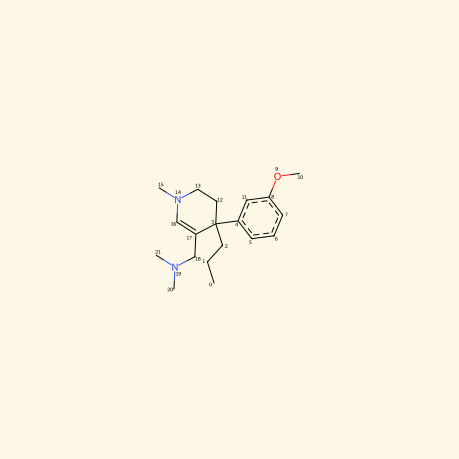 CCCC1(c2cccc(OC)c2)CCN(C)C=C1CN(C)C